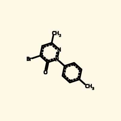 Cc1ccc(-n2nc(C)cc(Br)c2=O)cc1